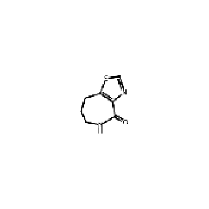 O=C1NCCCc2scnc21